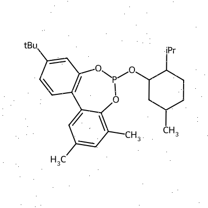 Cc1cc(C)c2op(OC3CC(C)CCC3C(C)C)oc3cc(C(C)(C)C)ccc3c2c1